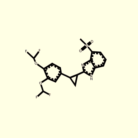 CS(=O)(=O)c1cccc2[nH]c(C3CC3c3ccc(OC(F)F)c(OC(F)F)c3)nc12